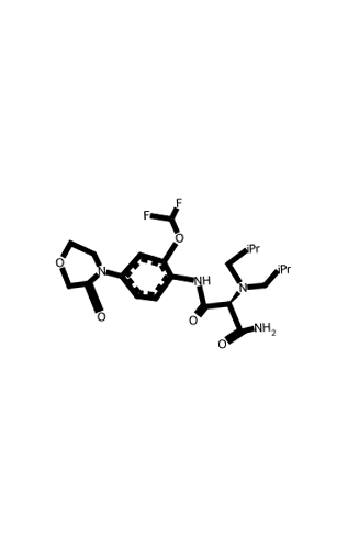 CC(C)CN(CC(C)C)[C@@H](C(N)=O)C(=O)Nc1ccc(N2CCOCC2=O)cc1OC(F)F